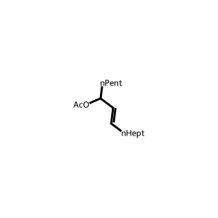 CCCCCCCC=CC(CCCCC)OC(C)=O